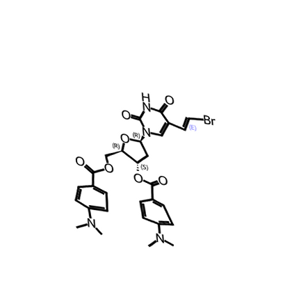 CN(C)c1ccc(C(=O)OC[C@H]2O[C@@H](n3cc(/C=C/Br)c(=O)[nH]c3=O)C[C@@H]2OC(=O)c2ccc(N(C)C)cc2)cc1